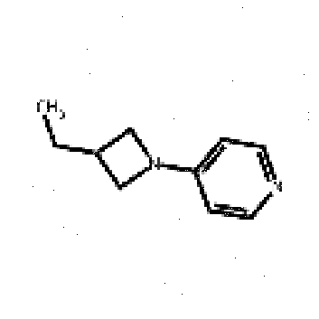 CCC1CN(c2ccncc2)C1